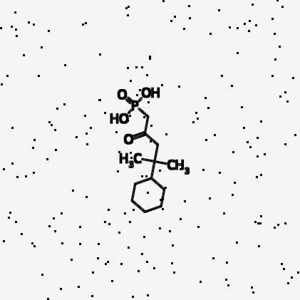 CC(C)(CC(=O)CP(=O)(O)O)C1CCCCC1